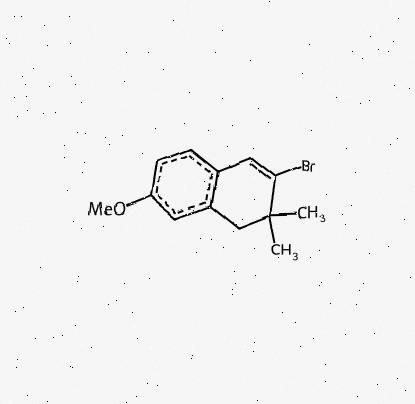 COc1ccc2c(c1)CC(C)(C)C(Br)=C2